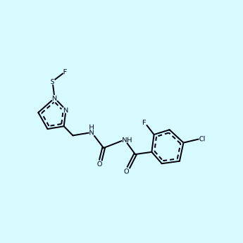 O=C(NCc1ccn(SF)n1)NC(=O)c1ccc(Cl)cc1F